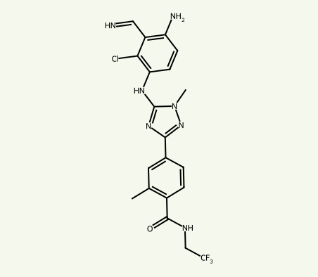 Cc1cc(-c2nc(Nc3ccc(N)c(C=N)c3Cl)n(C)n2)ccc1C(=O)NCC(F)(F)F